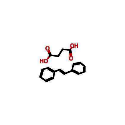 C(=Cc1ccccc1)c1ccccc1.O=C(O)CCC(=O)O